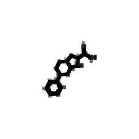 O=C(O)C1CC2CCC(c3ccccc3)CC2N1